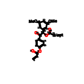 C=CC(=O)Oc1ccc(C(=O)C(OC(=O)CCCCCCC)c2cc(OC)cc(OC)c2)cc1